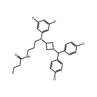 CCCC(=O)NCCCN(c1cc(F)cc(F)c1)C1CN(C(c2ccc(Cl)cc2)c2ccc(Cl)cc2)C1